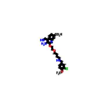 N=Cc1c(N)c(OCCOCCCCNCc2ccc(OC(F)(F)F)c(Cl)c2)nc2cc(C(=O)O)ccc12